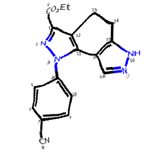 CCOC(=O)c1nn(-c2ccc(C#N)cc2)c2c1CCc1[nH]ncc1-2